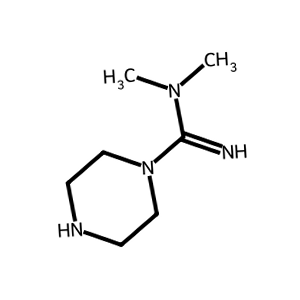 CN(C)C(=N)N1CCNCC1